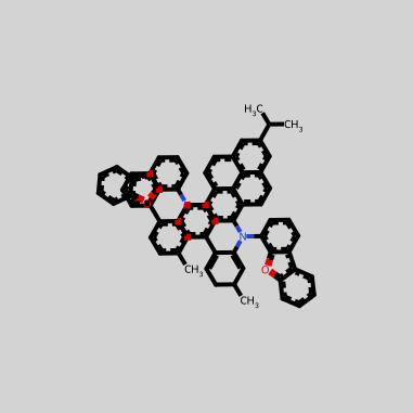 Cc1ccc(-c2ccccc2)c(N(c2cc(N(C3=CC(C)CC=C3c3ccccc3)c3cccc4c3oc3ccccc34)c3ccc4cc(C(C)C)cc5ccc2c3c45)c2cccc3c2oc2ccccc23)c1